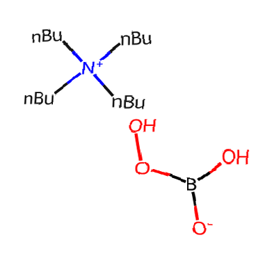 CCCC[N+](CCCC)(CCCC)CCCC.[O-]B(O)OO